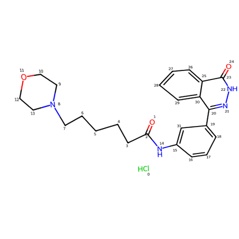 Cl.O=C(CCCCCN1CCOCC1)Nc1cccc(-c2n[nH]c(=O)c3ccccc23)c1